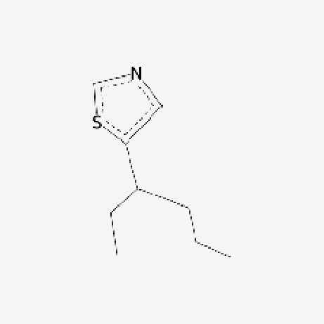 CCCC(CC)c1cncs1